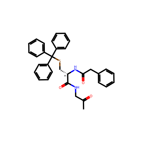 CC(=O)CNC(=O)[C@H](CSC(c1ccccc1)(c1ccccc1)c1ccccc1)NC(=O)Cc1ccccc1